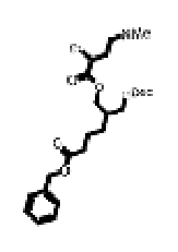 CCCCCCCCCCCC(CCCC(=O)OCc1ccccc1)COC(=O)C(CC)CCNC